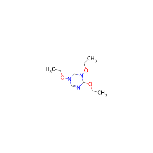 CCOC1N=CN(OCC)CN1OCC